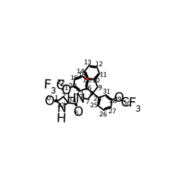 O=C1CC(C(=O)NCC(Cc2ccccc2)(c2cccc(OC(F)(F)F)c2)c2cccc(OC(F)(F)F)c2)N1